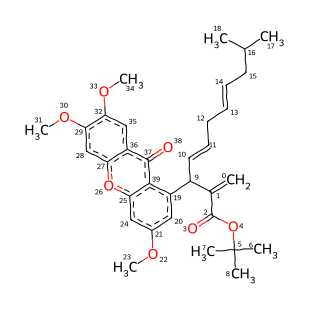 C=C(C(=O)OC(C)(C)C)C(C=CCC=CCC(C)C)c1cc(OC)cc2oc3cc(OC)c(OC)cc3c(=O)c12